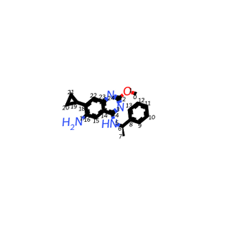 COc1nc(N[C@H](C)c2ccccc2)c2cc(N)c(C3CC3)cc2n1